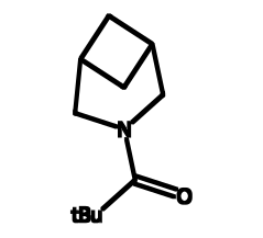 CC(C)(C)C(=O)N1CC2CC(C2)C1